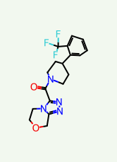 O=C(c1nnc2n1CCOC2)N1CCC(c2ccccc2C(F)(F)F)CC1